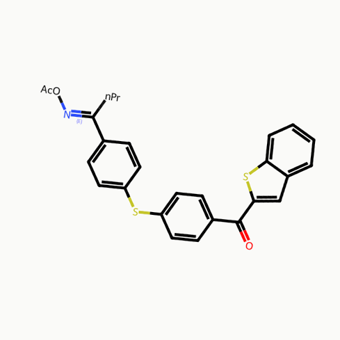 CCC/C(=N\OC(C)=O)c1ccc(Sc2ccc(C(=O)c3cc4ccccc4s3)cc2)cc1